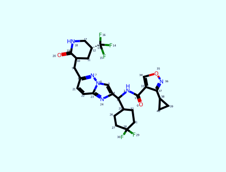 O=C(NC(c1cn2nc(CC3C[C@@H](C(F)(F)F)CNC3=O)ccc2n1)C1CCC(F)(F)CC1)c1conc1C1CC1